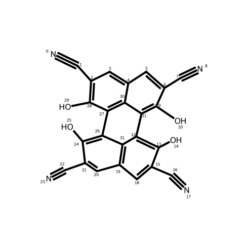 N#Cc1cc2cc(C#N)c(O)c3c4c(O)c(C#N)cc5cc(C#N)c(O)c(c(c1O)c23)c54